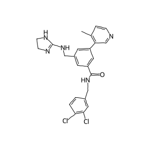 Cc1ccncc1-c1cc(CNC2=NCCN2)cc(C(=O)NCc2ccc(Cl)c(Cl)c2)c1